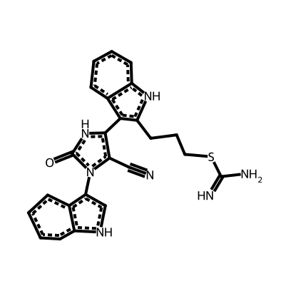 N#Cc1c(-c2c(CCCSC(=N)N)[nH]c3ccccc23)[nH]c(=O)n1-c1c[nH]c2ccccc12